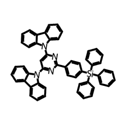 c1ccc([Si](c2ccccc2)(c2ccccc2)c2ccc(-c3nc(-n4c5ccccc5c5ccccc54)cc(-n4c5ccccc5c5ccccc54)n3)cc2)cc1